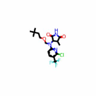 CC1C(=O)NC(=O)C1N(COCCC(C)(C)C)c1ccc(C(F)(F)F)c(Cl)n1